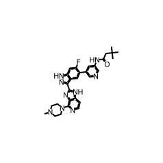 CN1CCN(c2nccc3[nH]c(-c4n[nH]c5cc(F)c(-c6cncc(NC(=O)CC(C)(C)C)c6)cc45)nc23)CC1